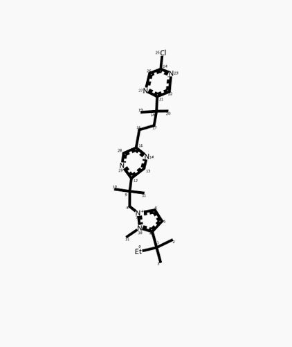 CCC(C)(C)c1cc[n+](CC(C)(C)c2cnc(CCC(C)(C)c3cnc(Cl)cn3)cn2)n1C